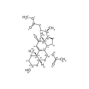 COC(=O)CC[C@@H](C)[C@H]1CCC2C3C(=CC(=O)[C@@]21C)[C@@]1(C)CC[C@@H](O)C[C@H]1C[C@H]3OC(C)=O